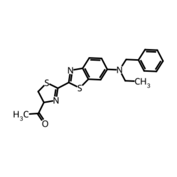 CCN(Cc1ccccc1)c1ccc2nc(C3=NC(C(C)=O)CS3)sc2c1